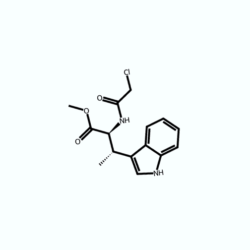 COC(=O)[C@@H](NC(=O)CCl)[C@@H](C)c1c[nH]c2ccccc12